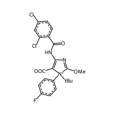 COC1=NC(NC(=O)c2ccc(Cl)cc2Cl)=C(C(=O)[O-])[N+]1(c1ccc(F)cc1)C(C)(C)C